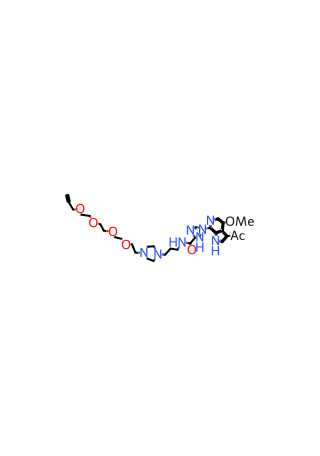 C#CCOCCOCCOCCOCCN1CCN(CCCNC(=O)C2N=CN(c3ncc(OC)c4c(C(C)=O)c[nH]c34)N2)CC1